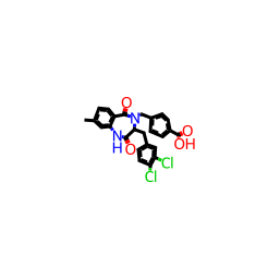 Cc1ccc2c(c1)NC(=O)C(Cc1ccc(Cl)c(Cl)c1)N(Cc1ccc(C(=O)O)cc1)C2=O